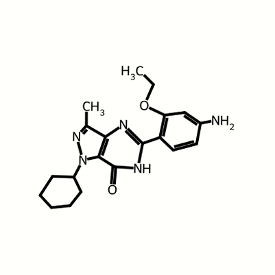 CCOc1cc(N)ccc1-c1nc2c(C)nn(C3CCCCC3)c2c(=O)[nH]1